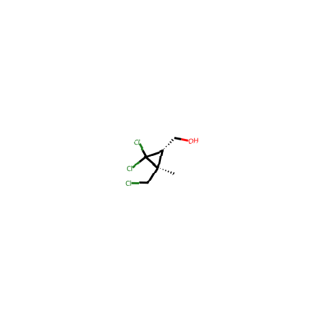 C[C@@]1(CCl)[C@@H](CO)C1(Cl)Cl